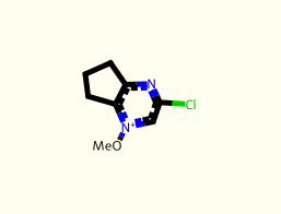 CO[n+]1cc(Cl)nc2c1CCC2